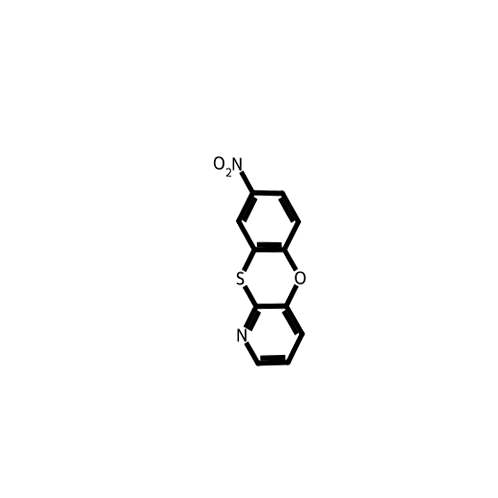 O=[N+]([O-])c1ccc2c(c1)Sc1ncccc1O2